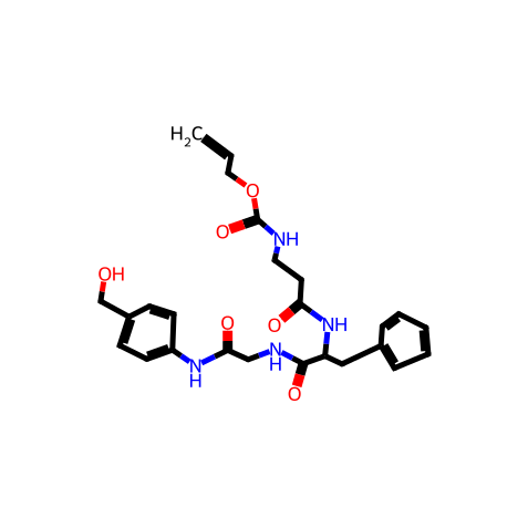 C=CCOC(=O)NCCC(=O)NC(Cc1ccccc1)C(=O)NCC(=O)Nc1ccc(CO)cc1